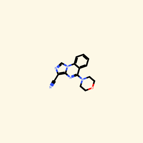 N#Cc1ncn2c1nc(N1CCOCC1)c1ccccc12